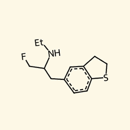 CCNC(CF)Cc1ccc2c(c1)CCS2